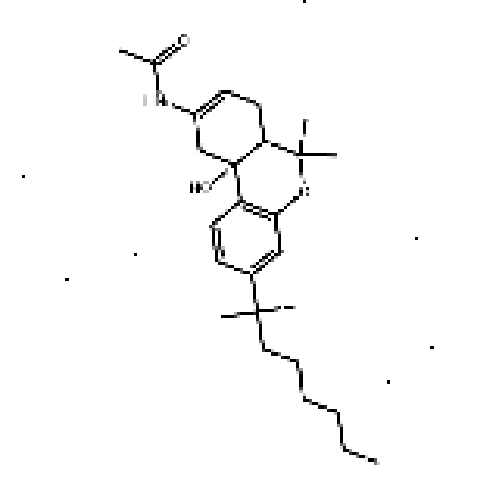 CCCCCCC(C)(C)c1ccc2c(c1)OC(C)(C)C1CC=C(NC(C)=O)CC21O